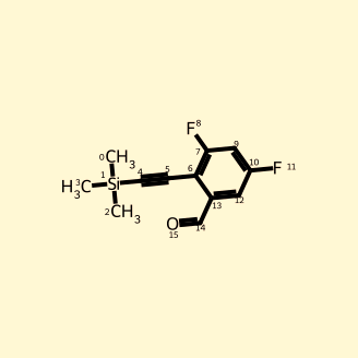 C[Si](C)(C)C#Cc1c(F)cc(F)cc1C=O